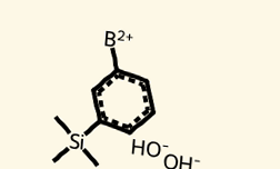 [B+2]c1cccc([Si](C)(C)C)c1.[OH-].[OH-]